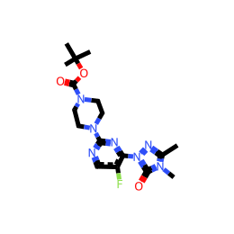 Cc1nn(-c2nc(N3CCN(C(=O)OC(C)(C)C)CC3)ncc2F)c(=O)n1C